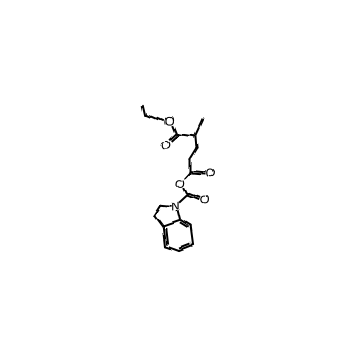 CCOC(=O)C(C)CCC(=O)OC(=O)N1CCc2ccccc21